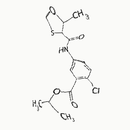 CC(C)OC(=O)c1cc(NC(=O)C2SCOC2C)ccc1Cl